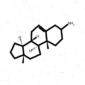 C[C@@]12CCC[C@H]1[C@@H]1CC=C3CC(N)CC[C@]3(C)[C@H]1CC2